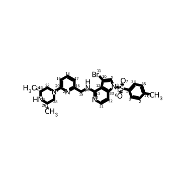 Cc1ccc(S(=O)(=O)n2cc(Br)c3c(NCc4cccc(N5C[C@@H](C)N[C@@H](C)C5)n4)nccc32)cc1